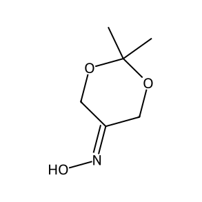 CC1(C)OCC(=NO)CO1